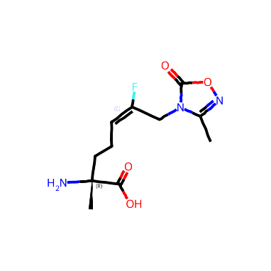 Cc1noc(=O)n1C/C(F)=C\CC[C@@](C)(N)C(=O)O